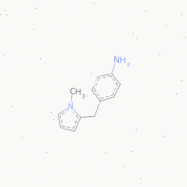 Cn1cccc1Cc1ccc(N)cc1